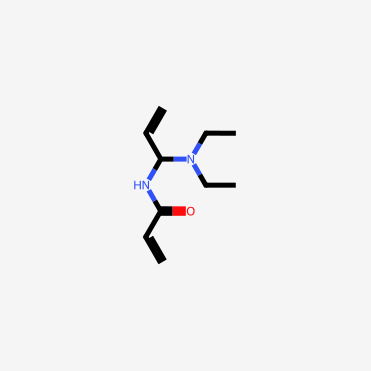 C=CC(=O)NC(C=C)N(CC)CC